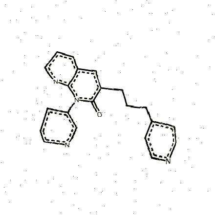 O=c1c(CCCc2ccncc2)cc2cccnc2n1-c1cccnc1